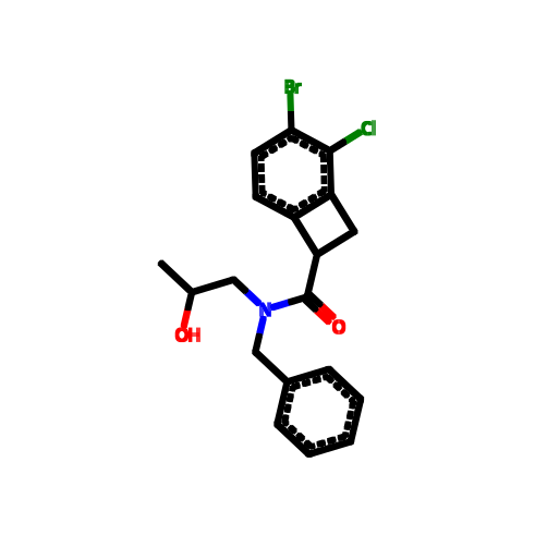 CC(O)CN(Cc1ccccc1)C(=O)C1Cc2c1ccc(Br)c2Cl